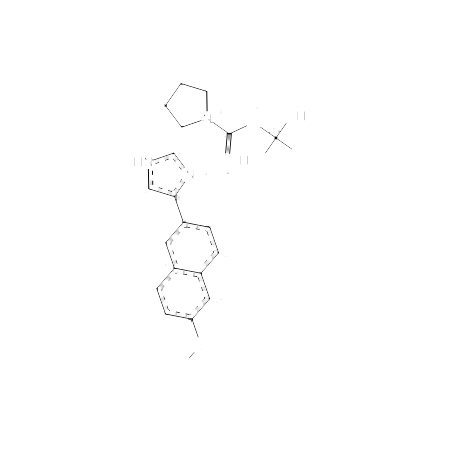 COc1ccc2cc(-c3c[nH]c([C@@H]4CCCN4C(=O)OC(C)(C)C)n3)ccc2c1